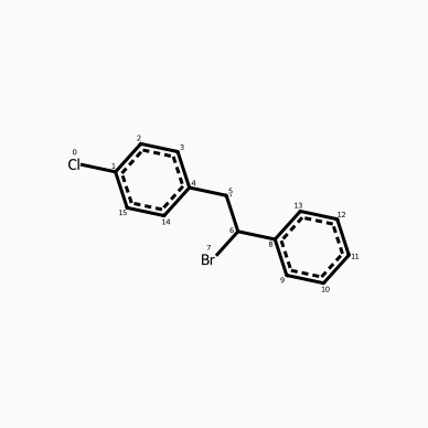 Clc1ccc([CH]C(Br)c2ccccc2)cc1